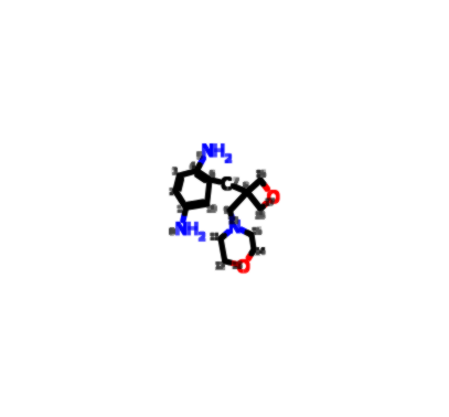 Nc1ccc(N)c(CC2(CN3CCOCC3)COC2)c1